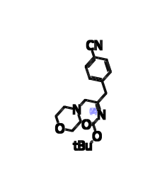 CC(C)(C)OC(=O)/N=C(/Cc1ccc(C#N)cc1)CN1CCOCC1